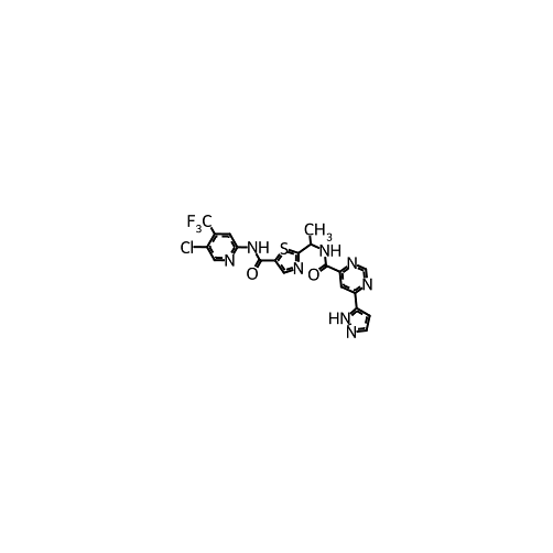 CC(NC(=O)c1cc(-c2ccn[nH]2)ncn1)c1ncc(C(=O)Nc2cc(C(F)(F)F)c(Cl)cn2)s1